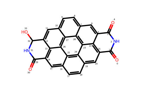 O=C1NC(=O)c2cc3ccc4cc5c6c(cc7ccc8cc1c2c1c8c7c6c4c31)C(=O)NC5O